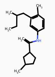 C=C(Nc1ccc(C)c(CC(C)CC)c1)C1CCC(C)C1